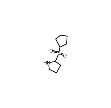 O=S(=O)(C1CCCC1)C1CCCN1